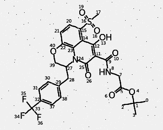 CC(C)(C)OC(=O)CNC(=O)c1c(O)c2c(S(C)(=O)=O)ccc3c2n(c1=O)C(Cc1ccc(C(F)(F)F)cc1)CO3